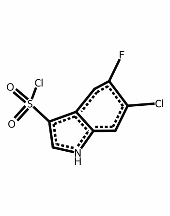 O=S(=O)(Cl)c1c[nH]c2cc(Cl)c(F)cc12